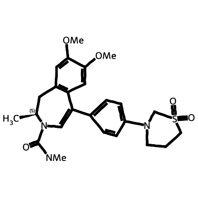 CNC(=O)N1C=C(c2ccc(N3CCCS(=O)(=O)C3)cc2)c2cc(OC)c(OC)cc2C[C@@H]1C